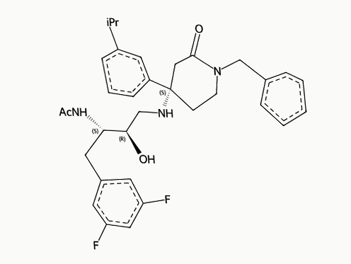 CC(=O)N[C@@H](Cc1cc(F)cc(F)c1)[C@H](O)CN[C@@]1(c2cccc(C(C)C)c2)CCN(Cc2ccccc2)C(=O)C1